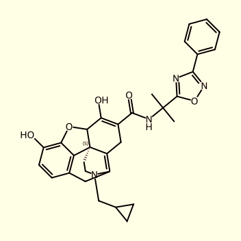 CC(C)(NC(=O)C1=C(O)C2Oc3c(O)ccc4c3[C@@]23CCN(CC2CC2)C(=C3C1)C4)c1nc(-c2ccccc2)no1